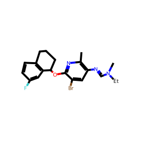 CCN(C)/C=N/c1cc(Br)c(OC2CCCc3ccc(F)cc32)nc1C